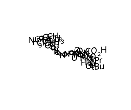 CC(C)C(NC(=O)OC(C)(C)C)C(=O)NCCN(CN1C(=O)CCC(N2C(=O)c3ccc(N4CCN(CC5CCN(c6ccc(C(=O)NC7C(C)(C)C(Oc8ccc(C#N)c(Cl)c8)C7(C)C)cc6)CC5)CC4)cc3C2=O)C1=O)C(=O)O